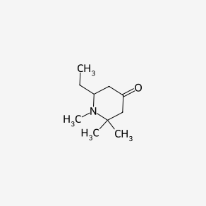 CCC1CC(=O)CC(C)(C)N1C